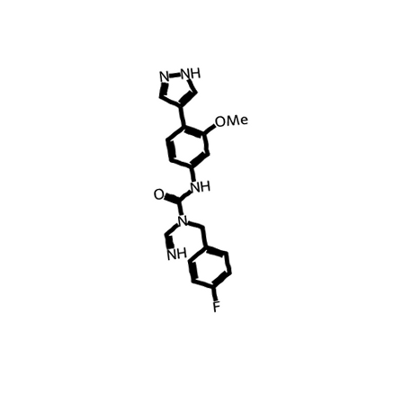 COc1cc(NC(=O)N(C=N)Cc2ccc(F)cc2)ccc1-c1cn[nH]c1